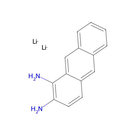 Nc1ccc2cc3ccccc3cc2c1N.[Li].[Li]